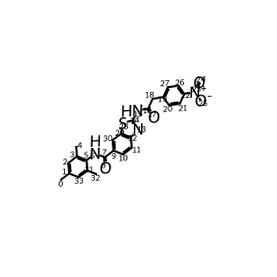 Cc1cc(C)c(NC(=O)c2ccc3nc(NC(=O)Cc4ccc([N+](=O)[O-])cc4)sc3c2)c(C)c1